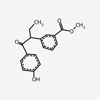 CCC(C(=O)c1ccc(O)cc1)c1cccc(C(=O)OC)c1